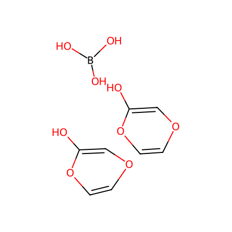 OB(O)O.OC1=COC=CO1.OC1=COC=CO1